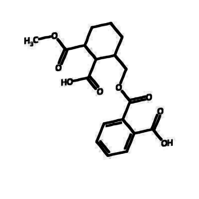 COC(=O)C1CCCC(COC(=O)c2ccccc2C(=O)O)C1C(=O)O